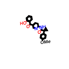 COc1ccc(C2(C(=O)NC3CC=C(C(=O)c4ccccc4O)C=N3)CC2)cc1